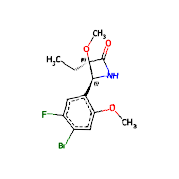 CC[C@]1(OC)C(=O)N[C@H]1c1cc(F)c(Br)cc1OC